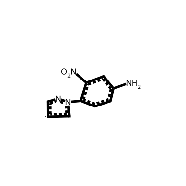 Nc1ccc(-n2c[c]cn2)c([N+](=O)[O-])c1